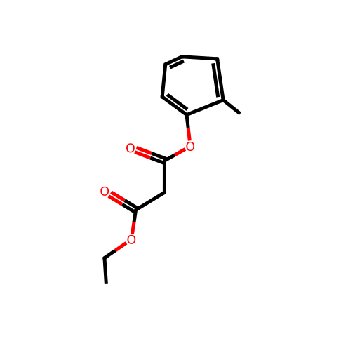 CCOC(=O)CC(=O)Oc1ccccc1C